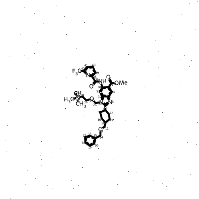 COC(=O)c1cc2nc(C3CCC(COCc4ccccc4)CC3)n(COCC[Si](C)(C)C)c2cc1NC(=O)c1cccc(C(F)(F)F)n1